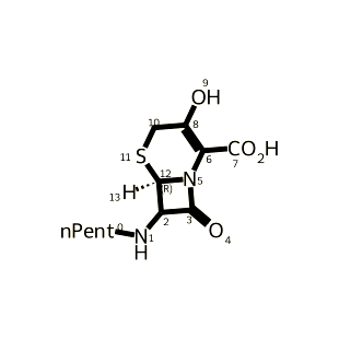 CCCCCNC1C(=O)N2C(C(=O)O)=C(O)CS[C@H]12